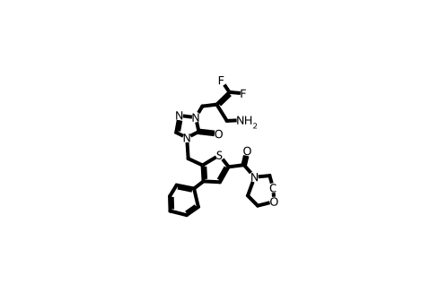 NCC(Cn1ncn(Cc2sc(C(=O)N3CCOCC3)cc2-c2ccccc2)c1=O)=C(F)F